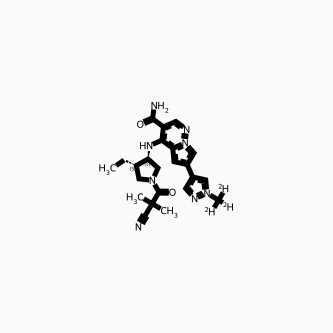 [2H]C([2H])([2H])n1cc(-c2cc3c(N[C@@H]4CN(C(=O)C(C)(C)C#N)C[C@@H]4CC)c(C(N)=O)cnn3c2)cn1